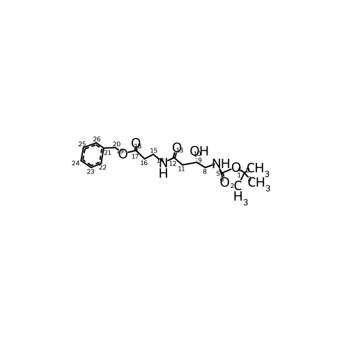 CC(C)(C)OC(=O)NC[C@@H](O)CC(=O)NCCC(=O)OCc1ccccc1